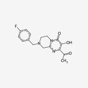 CC(=O)c1nc2n(c(=O)c1O)CCN(Cc1ccc(F)cc1)C2